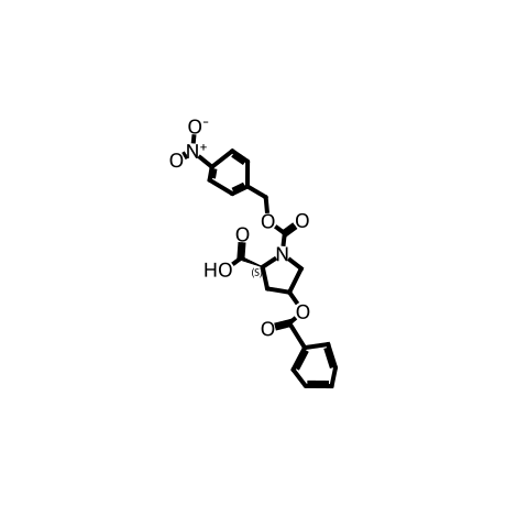 O=C(OC1C[C@@H](C(=O)O)N(C(=O)OCc2ccc([N+](=O)[O-])cc2)C1)c1ccccc1